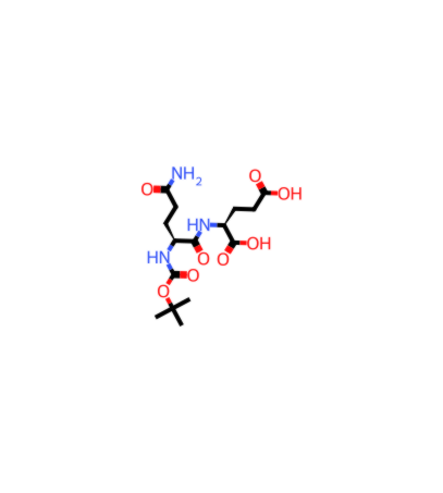 CC(C)(C)OC(=O)N[C@@H](CCC(N)=O)C(=O)N[C@@H](CCC(=O)O)C(=O)O